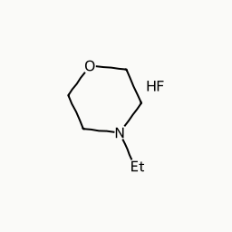 CCN1CCOCC1.F